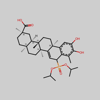 Cc1c(O)c(O)cc2c1C(P(=O)(OC(C)C)OC(C)C)C=C1[C@@]2(C)CC[C@@]2(C)[C@@H]3C[C@](C)(C(=O)O)CC[C@]3(C)CC[C@]12C